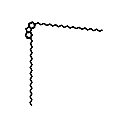 CCCCCCCCCCCCCCCCCCCCCCCc1ccc2c(c1)-c1cc(CCCCCCCCCCCCCCCCCCCCCCC)ccc1C2